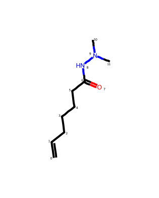 C=CCCCCC(=O)NN(C)C